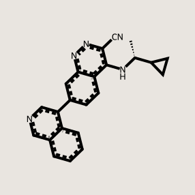 C[C@@H](Nc1c(C#N)nnc2cc(-c3cncc4ccccc34)ccc12)C1CC1